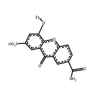 CCOc1cc(S(=O)(=O)O)cc2c(=O)c3cc(C(N)=O)ccc3oc12